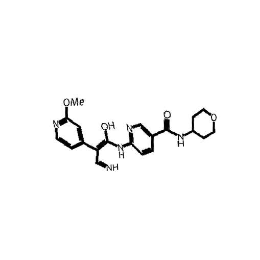 COc1cc(/C(C=N)=C(\O)Nc2ccc(C(=O)NC3CCOCC3)cn2)ccn1